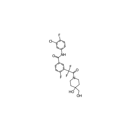 O=C(Nc1ccc(F)c(Cl)c1)c1ccc(F)c(C(F)(F)C(=O)N2CCC(O)(CO)CC2)c1